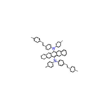 Cc1ccc(/C=C/c2ccc(N(c3ccc(C)cc3)c3c4cc5ccccc5cc4c(N(c4ccc(C)cc4)c4ccc(/C=C/c5ccc(C)cc5)cc4)c4cc5ccccc5cc34)cc2)cc1